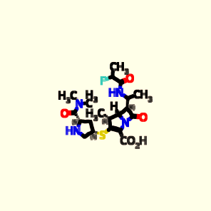 CC(F)C(=O)NC(C)[C@H]1C(=O)N2C(C(=O)O)=C(S[C@@H]3CN[C@H](C(=O)N(C)C)C3)[C@H](C)[C@H]12